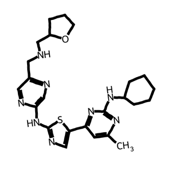 Cc1cc(-c2cnc(Nc3cnc(CNCC4CCCO4)cn3)s2)nc(NC2CCCCC2)n1